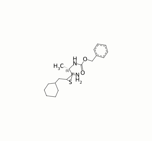 C[C@H](NC(=O)OCc1ccccc1)[C@@]1(N)SC1CC1CCCCC1